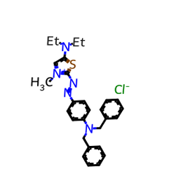 CCN(CC)c1c[n+](C)c(N=Nc2ccc(N(Cc3ccccc3)Cc3ccccc3)cc2)s1.[Cl-]